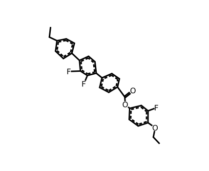 CCOc1ccc(OC(=O)c2ccc(-c3ccc(-c4ccc(CC)cc4)c(F)c3F)cc2)cc1F